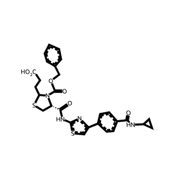 O=C(O)CCC1SC[C@@H](C(=O)Nc2nc(-c3ccc(C(=O)NC4CC4)cc3)cs2)N1C(=O)OCc1ccccc1